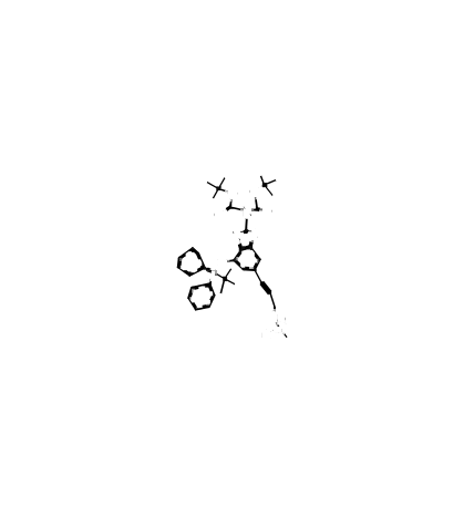 CC(C)(C)OC(=O)N(C(=O)OC(C)(C)C)c1nc2c(O[Si](c3ccccc3)(c3ccccc3)C(C)(C)C)cc(C#CCOS(C)(=O)=O)cc2s1